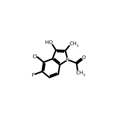 CC(=O)n1c(C)c(O)c2c(Cl)c(F)ccc21